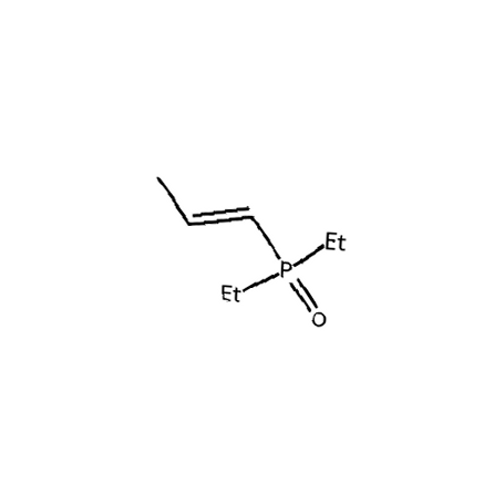 CC=CP(=O)(CC)CC